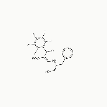 CCOC(=O)C(=CN[C@H](CO)Cc1ccccc1)C(=O)c1c(F)c(F)c(F)c(F)c1F